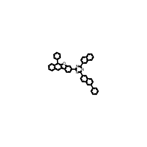 c1ccc(-c2ccc3cc(-c4nc(-c5ccc6ccccc6c5)nc(-c5ccc6c(c5)oc5c(-c7ccccc7)c7ccccc7cc56)n4)ccc3c2)cc1